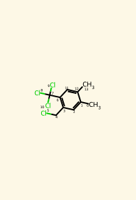 Cc1cc(CCl)c(C(Cl)(Cl)Cl)cc1C